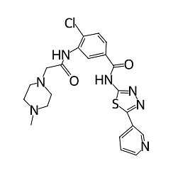 CN1CCN(CC(=O)Nc2cc(C(=O)Nc3nnc(-c4cccnc4)s3)ccc2Cl)CC1